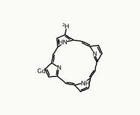 [2H]c1cc2cc3nc(cc4ccc(cc5nc(cc1[nH]2)C=C5)[nH]4)C=C3.[Gd]